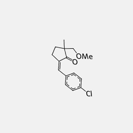 COCC1(C)CCC(=Cc2ccc(Cl)cc2)C1=O